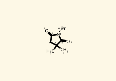 [CH2][C@@H](C)N1C(=O)CC(C)(C)C1=O